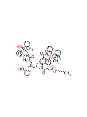 CCCCOC(=O)CCC(=O)NC[C@H](CN(CCC(=O)N(C)CC(C)(C)[Si](O)(c1ccccc1)c1ccccc1)Cc1ccccc1O)CN(CCC(=O)N(C)O[Si](c1ccccc1)(c1ccccc1)C(C)(C)C)Cc1ccccc1O